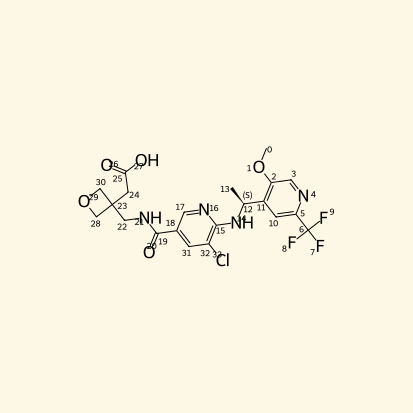 COc1cnc(C(F)(F)F)cc1[C@H](C)Nc1ncc(C(=O)NCC2(CC(=O)O)COC2)cc1Cl